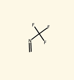 C=NC(F)(F)F